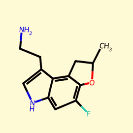 CC1Cc2c(c(F)cc3[nH]cc(CCN)c23)O1